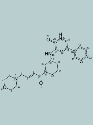 O=C(C=CCN1CCOCC1)N1CCC[C@@H](Nc2cc(-c3ccncc3)c[nH]c2=O)C1